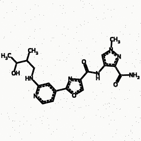 CC(O)C(C)CNc1cc(-c2nc(C(=O)Nc3cn(C)nc3C(N)=O)co2)ccn1